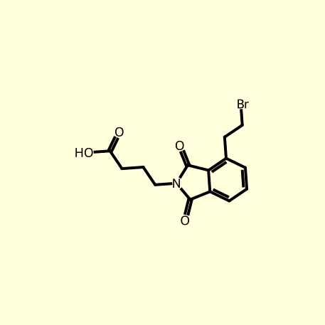 O=C(O)CCCN1C(=O)c2cccc(CCBr)c2C1=O